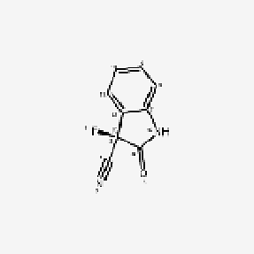 N#C[C@@]1(F)C(=O)Nc2ccccc21